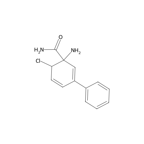 NC(=O)C1(N)C=C(c2ccccc2)C=CC1Cl